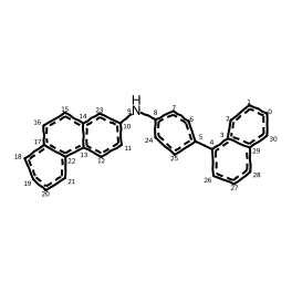 c1ccc2c(-c3ccc(Nc4ccc5c(ccc6ccccc65)c4)cc3)cccc2c1